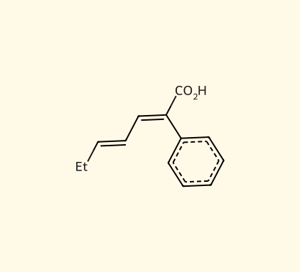 CC/C=C/C=C(/C(=O)O)c1ccccc1